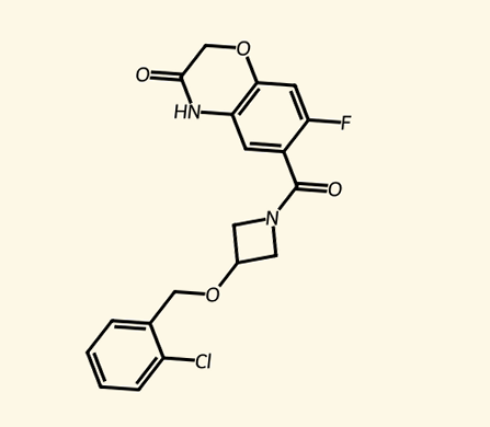 O=C1COc2cc(F)c(C(=O)N3CC(OCc4ccccc4Cl)C3)cc2N1